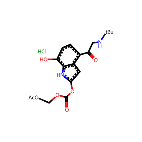 CC(=O)OCOC(=O)Oc1cc2c(C(=O)CNC(C)(C)C)ccc(O)c2[nH]1.Cl